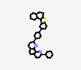 c1ccc(-c2ccc3ccc4ccc(-c5ccc(-c6ccc7sc8ccc9ccccc9c8c7c6)cc5)nc4c3n2)cc1